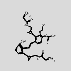 CCC(=O)NCC1CC1c1cccc(O)c1CCc1ccc(OC(=O)O)c(CCO)c1C1CC1CNC(=O)CC